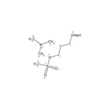 CCCCCCCCCCOS(C)(=O)=O.CN(C)C